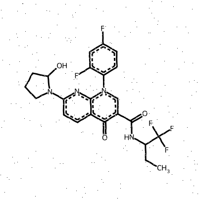 CCC(NC(=O)c1cn(-c2ccc(F)cc2F)c2nc(N3CCCC3O)ccc2c1=O)C(F)(F)F